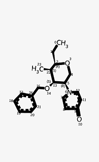 CC[C@H]1OC[C@@H](n2ccc(=O)cc2)[C@@H](OCc2ccccc2)[C@H]1C